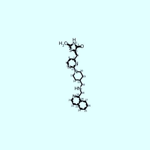 C=c1[nH]c(=O)/c(=C/c2ccnc(N3CCC(CNCc4nccc5ccccc45)CC3)n2)s1